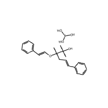 CC(C)(O)C(C)(CC=Cc1ccccc1)OC=Cc1ccccc1.OB(O)O